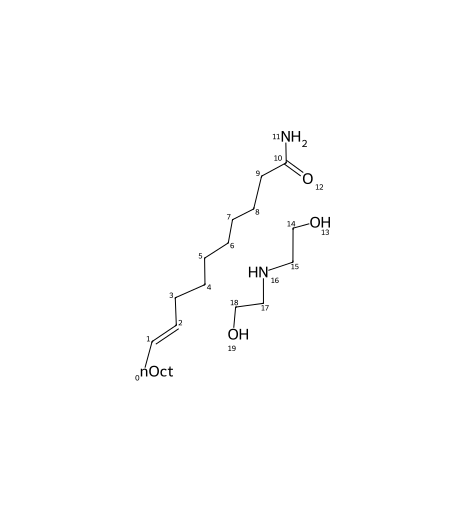 CCCCCCCCC=CCCCCCCCC(N)=O.OCCNCCO